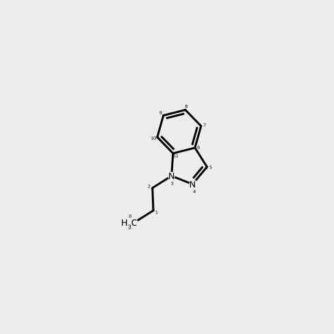 CCCn1n[c]c2ccccc21